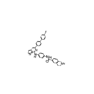 O=C(Nc1ccc(Nc2nc(-c3ccc(-c4ccc(F)cc4)cc3)cc3ccnn23)cc1)c1ccc2c(c1)CCNC2